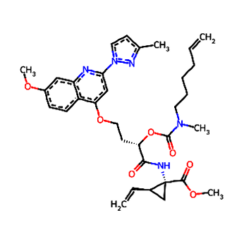 C=CCCCCN(C)C(=O)O[C@@H](CCOc1cc(-n2ccc(C)n2)nc2cc(OC)ccc12)C(=O)N[C@]1(C(=O)OC)C[C@H]1C=C